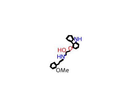 COc1ccccc1CC=CNCC(O)COc1cccc2[nH]c3ccccc3c12